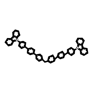 c1ccc2c(c1)c1ccccc1n2-c1ccc(-c2ccc(-c3ccc(Cc4ccc(-c5ccc(-c6ccc(-n7c8ccccc8c8ccccc87)cc6)cc5)cc4)cc3)cc2)cc1